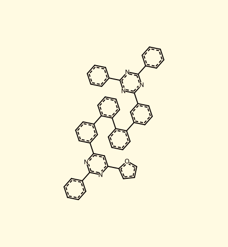 c1ccc(-c2nc(-c3cccc(-c4ccccc4-c4ccccc4-c4cccc(-c5nc(-c6ccccc6)nc(-c6ccccc6)n5)c4)c3)cc(-c3ccco3)n2)cc1